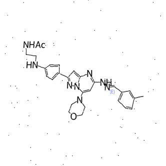 CC(=O)NCCNc1ccc(-c2cc3nc(N/N=C/c4cccc(C)c4)cc(N4CCOCC4)n3n2)cc1